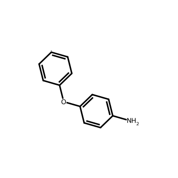 Nc1ccc(Oc2cc[c]cc2)cc1